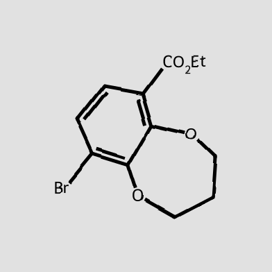 CCOC(=O)c1ccc(Br)c2c1OCCCO2